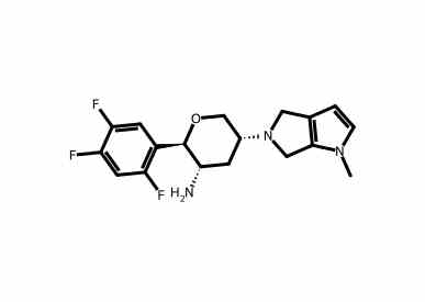 Cn1ccc2c1CN([C@H]1CO[C@H](c3cc(F)c(F)cc3F)[C@@H](N)C1)C2